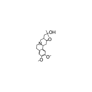 COc1cc2c(cc1OC)C1CC(=O)C(CC(C)(C)O)CN1CC2